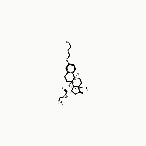 CCNC(=O)[C@H]1CC(=O)[C@@]2(C)CC[C@@H]3c4ccc(OCCCBr)cc4CC[C@H]3[C@H]12